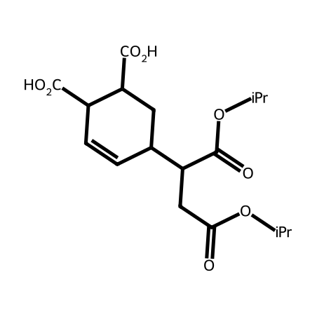 CC(C)OC(=O)CC(C(=O)OC(C)C)C1C=CC(C(=O)O)C(C(=O)O)C1